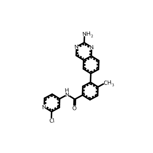 Cc1ccc(C(=O)Nc2ccnc(Cl)c2)cc1-c1ccc2nc(N)ncc2c1